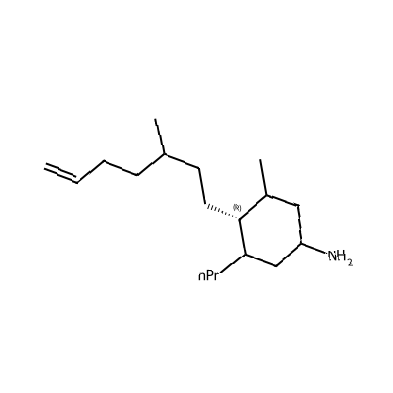 C=CCCC(C)CC[C@@H]1C(C)CC(N)CC1CCC